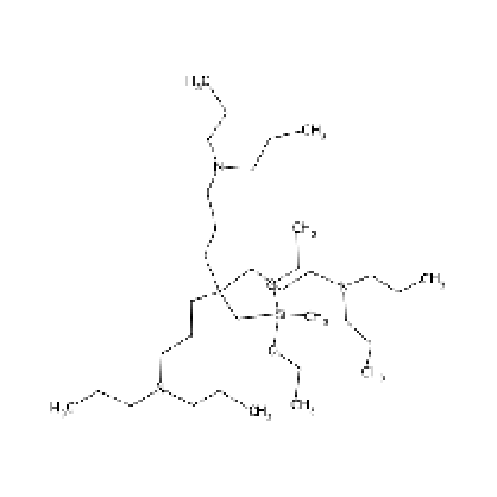 CCCN(CCC)CCCC(CCCN(CCC)CCC)(CCCN(CCC)CCC)C[Si](C)(OCC)OCC